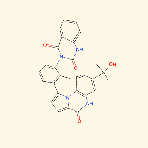 Cc1c(-c2ccc3c(=O)[nH]c4cc(C(C)(C)O)ccc4n23)cccc1-n1c(=O)[nH]c2ccccc2c1=O